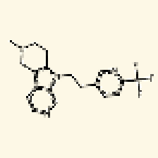 CN1CCc2c(c3ccncc3n2CCc2ccc(C(F)(F)F)nc2)C1